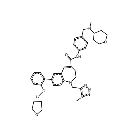 C1CCOC1.CCOc1ccccc1-c1ccc2c(c1)C=C(C(=O)Nc1ccc(CN(C)C3CCOCC3)cc1)CCN2Cc1nnnn1C